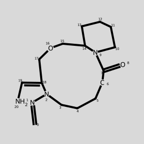 C=NN1CCCCC(=O)N2CCCCC2COC/C1=C/N